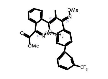 CO/N=C(\C(C)=C(/ON)c1ccccc1/C(=N\OC)C(=O)OC)c1ccc(-c2cccc(C(F)(F)F)c2)cc1